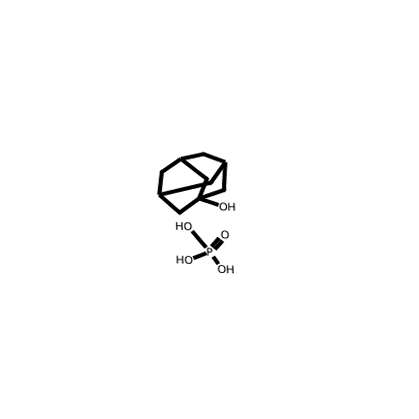 O=P(O)(O)O.OC12CC3CC(CC(C3)C1)C2